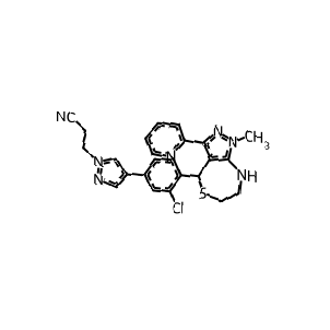 Cn1nc(-c2ccccn2)c2c1NCCSC2c1ccc(-c2cnn(CCC#N)c2)cc1Cl